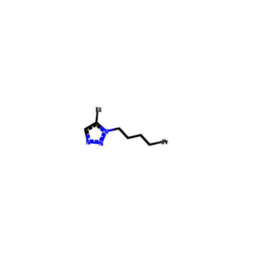 CCc1cnnn1CCCCC(C)C